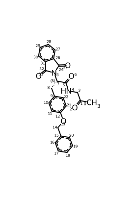 CC(=O)CNC(=O)[C@H](Cc1ccc(OCc2ccccc2)cc1)N1C(=O)c2ccccc2C1=O